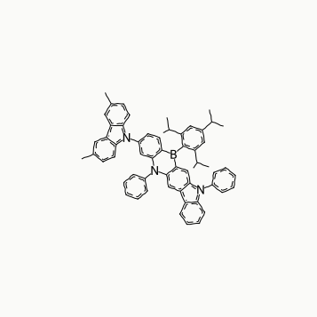 Cc1ccc2c(c1)c1cc(C)ccc1n2-c1ccc2c(c1)N(c1ccccc1)c1cc3c4ccccc4n(-c4ccccc4)c3cc1B2c1c(C(C)C)cc(C(C)C)cc1C(C)C